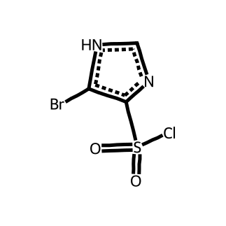 O=S(=O)(Cl)c1nc[nH]c1Br